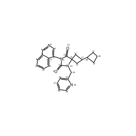 O=C1N(c2cncc3ccccc23)C(=O)C2(CC(C3CCC3)C2)N1Cc1ccccn1